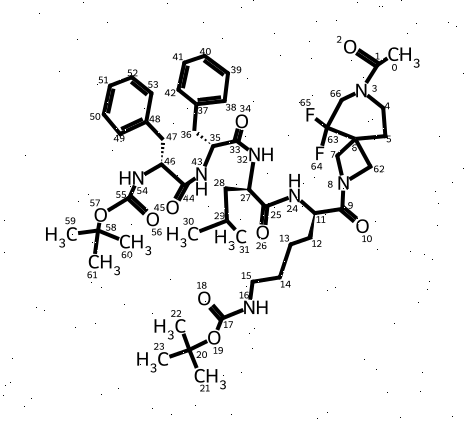 CC(=O)N1CCC2(CN(C(=O)[C@@H](CCCCNC(=O)OC(C)(C)C)NC(=O)[C@@H](CC(C)C)NC(=O)[C@@H](Cc3ccccc3)NC(=O)[C@@H](Cc3ccccc3)NC(=O)OC(C)(C)C)C2)C(F)(F)C1